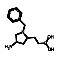 NC1CC(CCB(O)O)N(Cc2ccccc2)C1